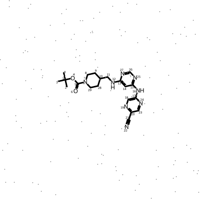 CC(C)(C)OC(=O)N1CCC(CNc2cc(Nc3cnc(C#N)cn3)ncn2)CC1